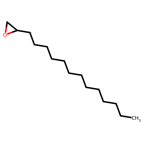 CCCCCCCCCCCC[CH]C1CO1